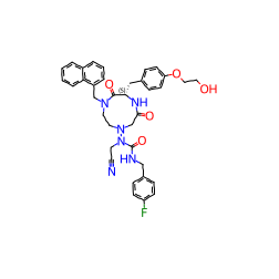 N#CCN(C(=O)NCc1ccc(F)cc1)N1CCN(Cc2cccc3ccccc23)C(=O)[C@H](Cc2ccc(OCCO)cc2)NC(=O)C1